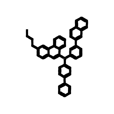 CCCCc1ccc2cc(N(c3ccc(-c4ccccc4)cc3)c3cccc(-c4ccc5ccccc5c4)c3)c3ccccc3c2c1